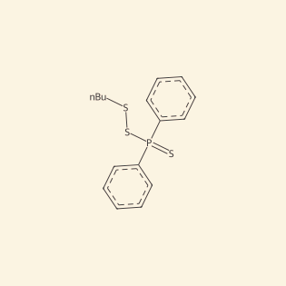 CCCCSSP(=S)(c1ccccc1)c1ccccc1